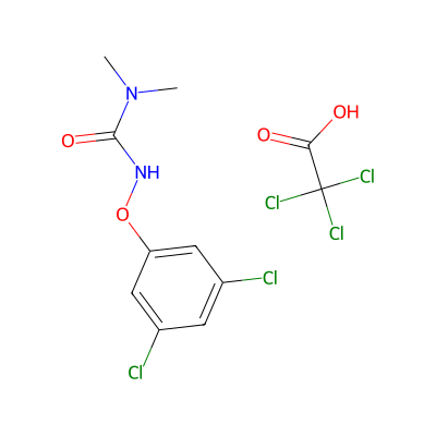 CN(C)C(=O)NOc1cc(Cl)cc(Cl)c1.O=C(O)C(Cl)(Cl)Cl